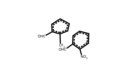 O=Cc1ccccc1C(F)(F)F.O=Cc1ccccc1[N+](=O)[O-]